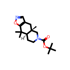 CC(C)(C)OC(=O)N1CC[C@H]2C(C)(C)c3oncc3C[C@]2(C)C1